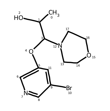 CC(O)C(Oc1cncc(Br)c1)N1CCOCC1